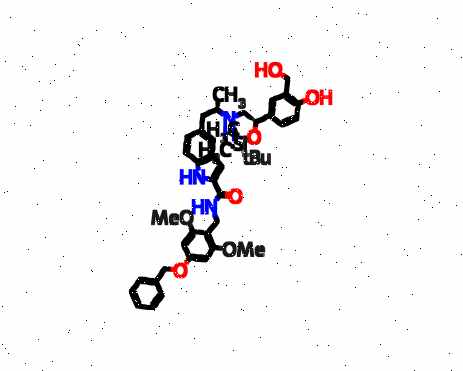 COc1cc(OCc2ccccc2)cc(OC)c1CNC(=O)c1cc2cc(C[C@@H](C)NC[C@H](O[Si](C)(C)C(C)(C)C)c3ccc(O)c(CO)c3)ccc2[nH]1